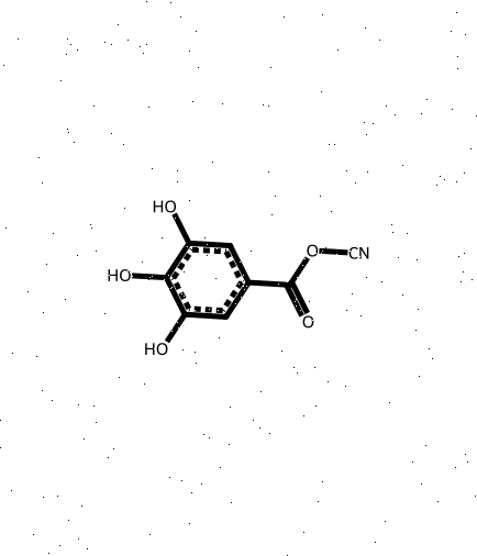 N#COC(=O)c1cc(O)c(O)c(O)c1